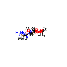 CCC(CC)OC(=O)OC(C)OC(=O)C1(COC)CS[C@@H]2C(NC(=O)C(=NOC)c3csc(N)n3)C(=O)N2C1